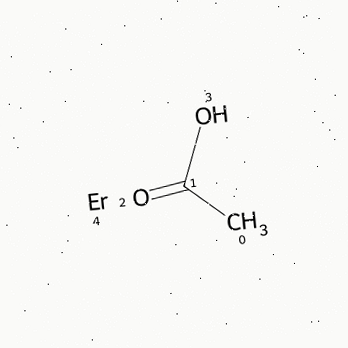 CC(=O)O.[Er]